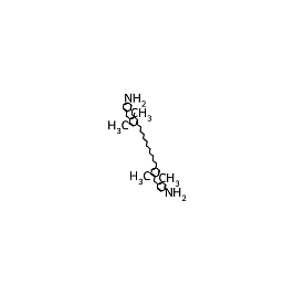 Cc1cc(CCCCCCCCCCCc2cc(C)c(Cc3ccc(N)cc3)c(C)c2)cc(C)c1Cc1ccc(N)cc1